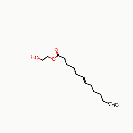 O=CCCCCC=CCCCCC(=O)OCCO